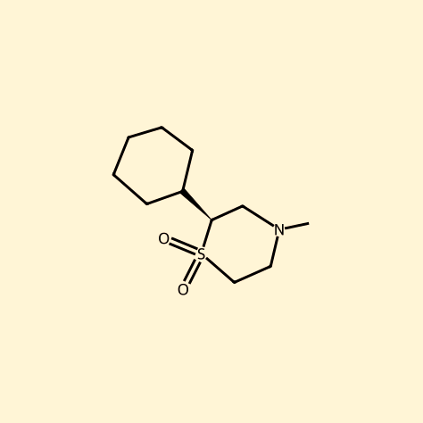 CN1CCS(=O)(=O)[C@@H](C2CCCCC2)C1